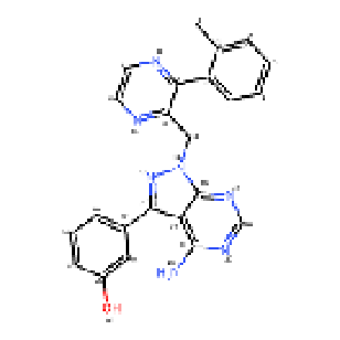 Cc1ccccc1-c1nccnc1Cn1nc(-c2cccc(O)c2)c2c(N)ncnc21